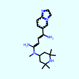 CN(/C(N)=C/C=C(\N)c1ccc2nccn2c1)C1CC(C)(C)NC(C)(C)C1